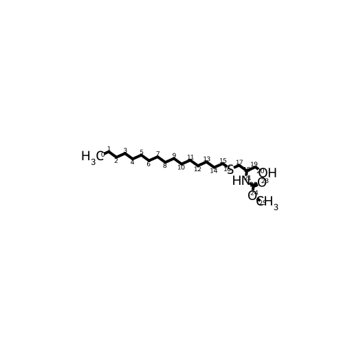 CCCCCCCCCCCCCCCCSCC(CO)NC(=O)OC